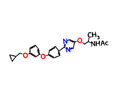 CC(=O)NC(C)COc1cnc(-c2ccc(Oc3cccc(OCC4CC4)c3)cc2)nc1